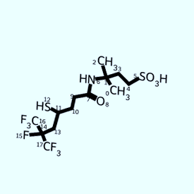 CC(C)(CCS(=O)(=O)O)NC(=O)CCC(S)CC(F)(C(F)(F)F)C(F)(F)F